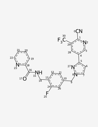 N#Cc1ncc(-c2ccn(Cc3ccc(CNC(=O)c4ccccn4)c(F)c3)n2)cc1C(F)(F)F